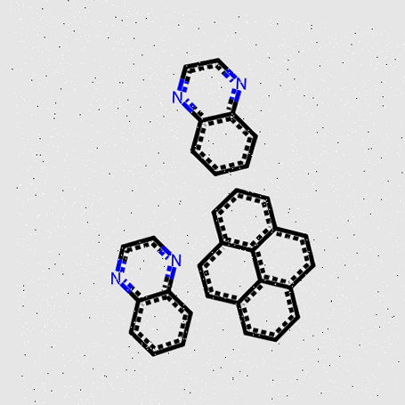 c1cc2ccc3cccc4ccc(c1)c2c34.c1ccc2nccnc2c1.c1ccc2nccnc2c1